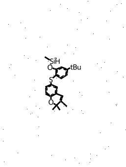 CC1=Cc2cc(Sc3ccc(C(C)(C)C)cc3O[SiH](C)C)ccc2OC1(C)C